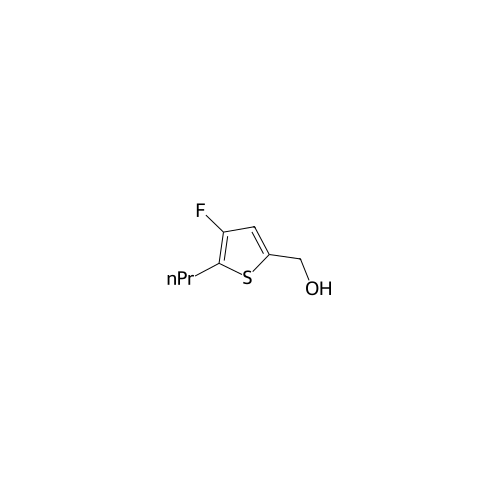 CCCc1sc(CO)cc1F